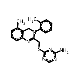 Cc1ccccc1N1Cc2c(C)cccc2N=C1CSc1ncnc(N)n1